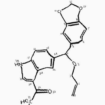 C=CCOC(c1ccc2c(c1)OCO2)c1ccc2[nH]cc(C(=O)C(=O)O)c2c1